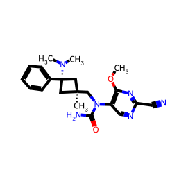 COc1nc(C#N)ncc1N(C[C@]1(C)C[C@@](c2ccccc2)(N(C)C)C1)C(N)=O